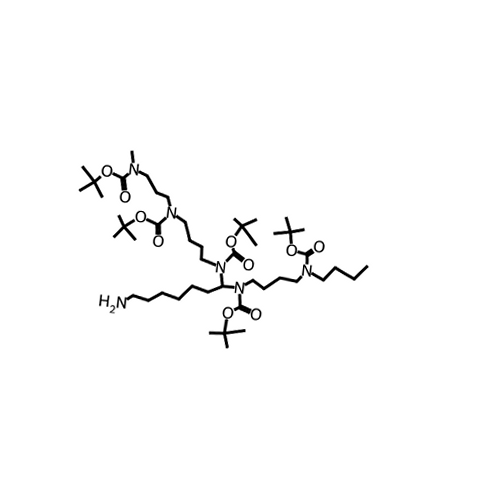 CCCCN(CCCCN(C(=O)OC(C)(C)C)C(CCCCCCN)N(CCCCN(CCCN(C)C(=O)OC(C)(C)C)C(=O)OC(C)(C)C)C(=O)OC(C)(C)C)C(=O)OC(C)(C)C